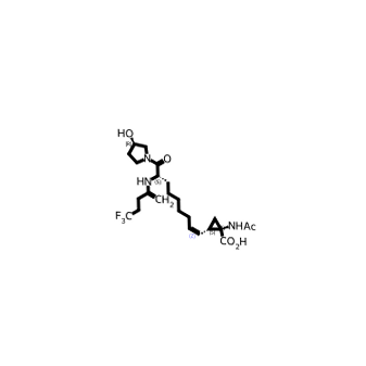 C=C(CCC(F)(F)F)N[C@@H](CCCCC/C=C\[C@@H]1C[C@]1(NC(C)=O)C(=O)O)C(=O)N1CC[C@@H](O)C1